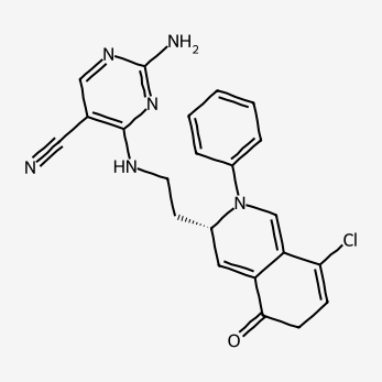 N#Cc1cnc(N)nc1NCC[C@H]1C=C2C(=O)CC=C(Cl)C2=CN1c1ccccc1